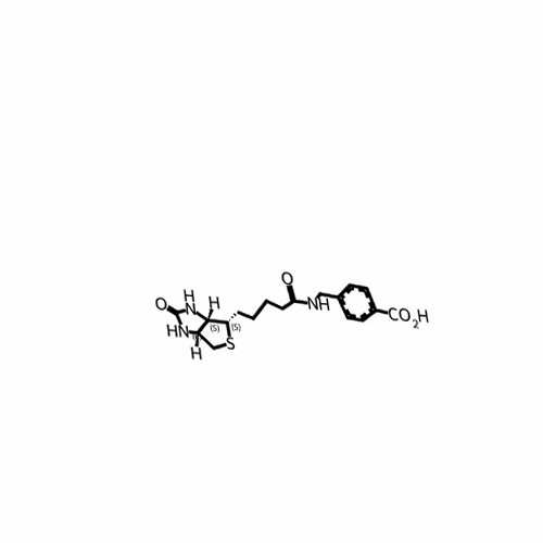 O=C(CCCC[C@@H]1SC[C@@H]2NC(=O)N[C@@H]21)NCc1ccc(C(=O)O)cc1